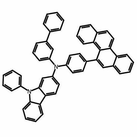 c1ccc(-c2cccc(N(c3ccc(-c4cc5ccccc5c5ccc6ccccc6c45)cc3)c3ccc4c5ccccc5n(-c5ccccc5)c4c3)c2)cc1